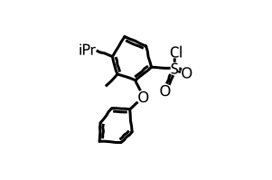 Cc1c(C(C)C)ccc(S(=O)(=O)Cl)c1Oc1ccccc1